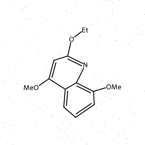 CCOc1cc(OC)c2cccc(OC)c2n1